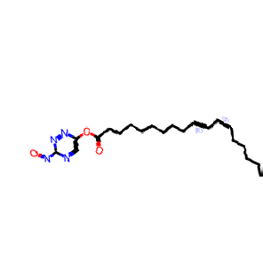 CCCCC/C=C\C=C\CCCCCCCCC(=O)OC1=C=NC(N=O)N=N1